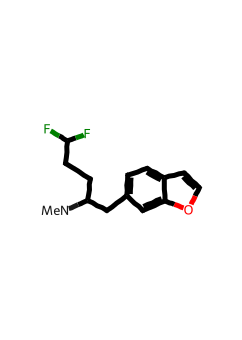 CNC(CCC(F)F)Cc1ccc2ccoc2c1